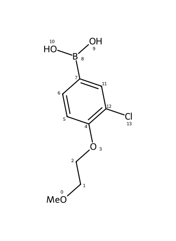 COCCOc1ccc(B(O)O)cc1Cl